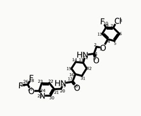 O=C(COc1ccc(Cl)c(F)c1)NC1CCC(C(=O)NCc2ccc(OC(F)F)nc2)CC1